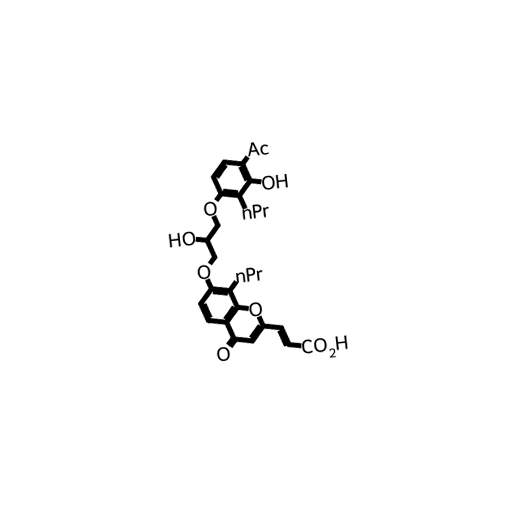 CCCc1c(OCC(O)COc2ccc3c(=O)cc(C=CC(=O)O)oc3c2CCC)ccc(C(C)=O)c1O